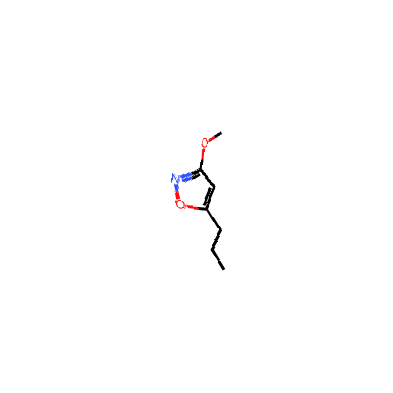 CCCc1cc(OC)no1